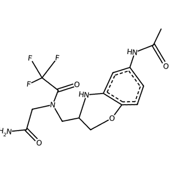 CC(=O)Nc1ccc2c(c1)NC(CN(CC(N)=O)C(=O)C(F)(F)F)CO2